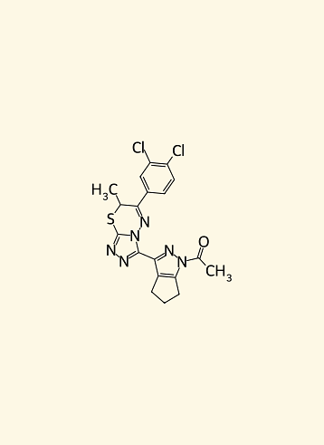 CC(=O)n1nc(-c2nnc3n2N=C(c2ccc(Cl)c(Cl)c2)C(C)S3)c2c1CCC2